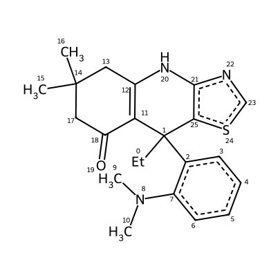 CCC1(c2ccccc2N(C)C)C2=C(CC(C)(C)CC2=O)Nc2ncsc21